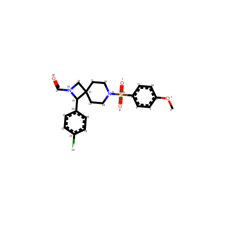 COc1ccc(S(=O)(=O)N2CCC3(CC2)CN(C=O)C3c2ccc(F)cc2)cc1